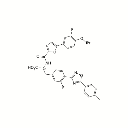 Cc1ccc(-c2nc(-c3ccc(C[C@@H](NC(=O)c4ccc(-c5ccc(OC(C)C)c(F)c5)o4)C(=O)O)cc3F)no2)cc1